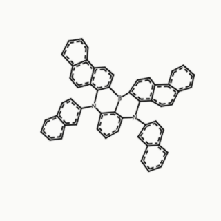 c1cc2c3c(c1)N(c1ccc4ccccc4c1)c1c(ccc4c1ccc1ccccc14)B3c1ccc3c(ccc4ccccc43)c1N2c1ccc2ccccc2c1